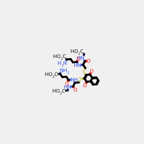 NC(CCC(=O)NC(CSC1=C(SCC(NC(=O)CCC(N)C(=O)O)C(=O)NCC(=O)O)C(=O)c2ccccc2C1=O)C(=O)NCC(=O)O)C(=O)O